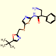 CC(C)(C)c1cnc(CSc2cnc(NC(=O)C(CN)c3ccccc3)s2)o1